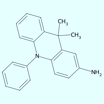 CC1(C)c2ccccc2N(c2ccccc2)c2ccc(N)cc21